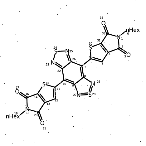 CCCCCCN1C(=O)c2cc(-c3c4c(c(-c5cc6c(s5)C(=O)N(CCCCCC)C6=O)c5nsnc35)N=S=N4)sc2C1=O